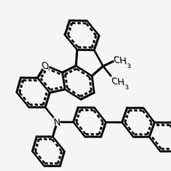 CC1(C)c2ccccc2-c2c1ccc1c2oc2cccc(N(c3ccccc3)c3ccc(-c4ccc5ccccc5c4)cc3)c21